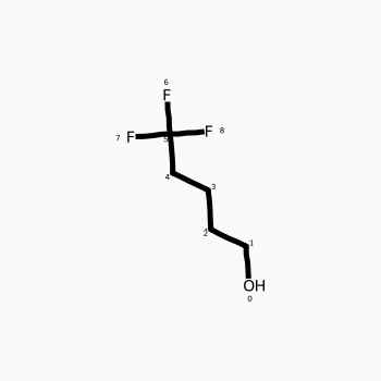 OC[CH]CCC(F)(F)F